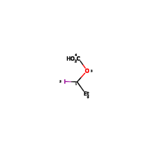 CCC(I)OC(=O)O